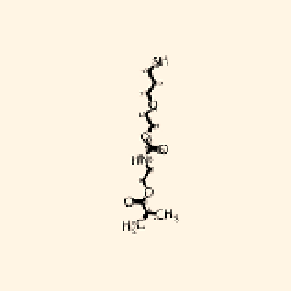 C=C(C)C(=O)OCCNC(=O)OCCOCCCS